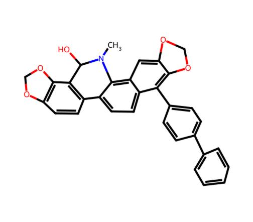 CN1c2c(ccc3c(-c4ccc(-c5ccccc5)cc4)c4c(cc23)OCO4)-c2ccc3c(c2C1O)OCO3